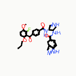 CCCOc1ccc(OC)c(F)c1C(=O)c1ccc(C(=O)N[C@@H]2CNC[C@H]2NC(=O)c2ccc3[nH]ncc3c2)cc1